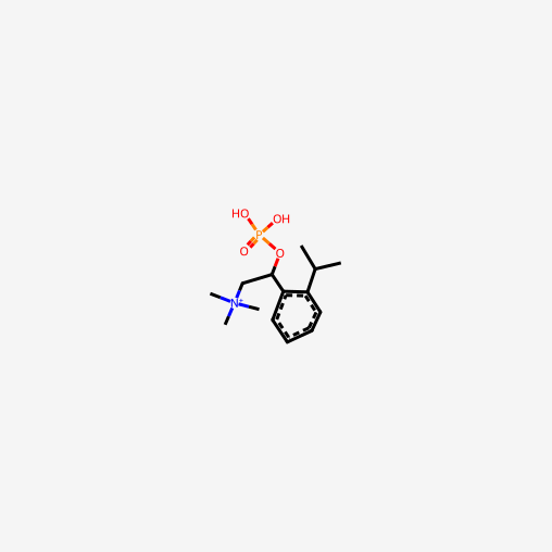 CC(C)c1ccccc1C(C[N+](C)(C)C)OP(=O)(O)O